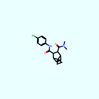 CN(C)C(=O)C1C(C(=O)Nc2ccc(Br)cc2)C2C=CC1C21CC1